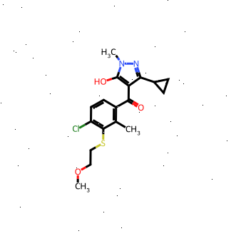 COCCSc1c(Cl)ccc(C(=O)c2c(C3CC3)nn(C)c2O)c1C